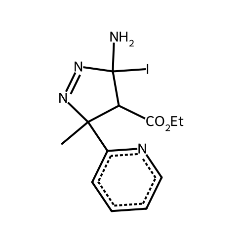 CCOC(=O)C1C(N)(I)N=NC1(C)c1ccccn1